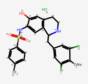 COc1c(Br)cc(CC2NCCc3cc(O)c(NS(=O)(=O)c4ccc(C(F)(F)F)cc4)cc32)cc1Br.Cl